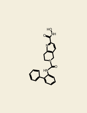 O=C(NO)c1ccc2c(n1)CCN(C(=O)Nc1ccccc1-c1ccccc1)C2